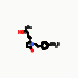 CCCC[C@H](O)CC=C[C@H]1CCC(=O)N1CCc1ccc(C(=O)O)cc1